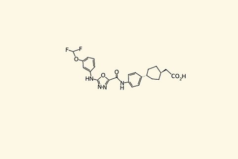 O=C(O)C[C@H]1CC[C@H](c2ccc(NC(=O)c3nnc(Nc4cccc(OC(F)F)c4)o3)cc2)CC1